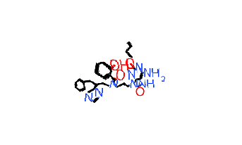 CCCCOc1nc(N)c2[nH]c(=O)n(CCCN(CCC(Cc3ccccc3)c3cnccn3)C(=O)c3ccccc3O)c2n1